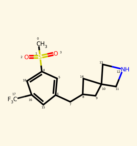 CS(=O)(=O)c1cc(CC2CC3(CNC3)C2)cc(C(F)(F)F)c1